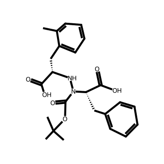 Cc1ccccc1C[C@H](NN(C(=O)OC(C)(C)C)[C@@H](Cc1ccccc1)C(=O)O)C(=O)O